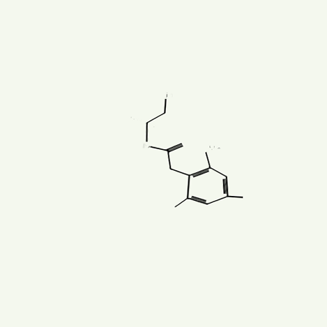 COc1cc(C)cc(C)c1CC(=O)N[C@@H](CC(C)C)C(=O)O